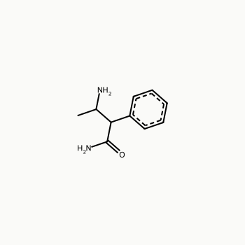 CC(N)C(C(N)=O)c1ccccc1